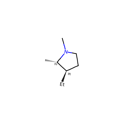 CC[C@@H]1CCN(C)[C@H]1C